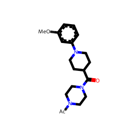 COc1cccc(N2CCC(C(=O)N3CCN(C(C)=O)CC3)CC2)c1